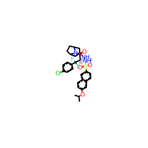 CC(C)Oc1ccc2cc(S(=O)(=O)N[C@@H](C(=O)N3C4CCC3CC(N)C4)C(F)(F)c3ccc(Cl)cc3)ccc2c1